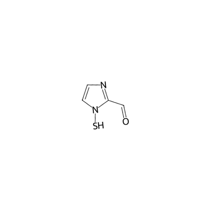 O=Cc1nccn1S